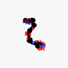 Cc1cc(CNCC(O)c2ccc(O)c3[nH]c(=O)ccc23)cc(C)c1OCCOC(=O)c1ccc(COc2cccc(C(NC(=O)O[C@H]3CN4CCC3CC4)c3ccccc3)c2)cc1